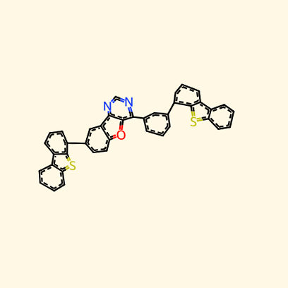 c1cc(-c2ncnc3c2oc2ccc(-c4cccc5c4sc4ccccc45)cc23)cc(-c2cccc3c2sc2ccccc23)c1